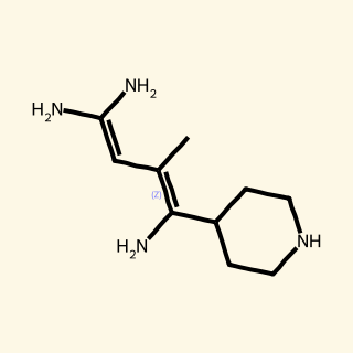 C/C(C=C(N)N)=C(/N)C1CCNCC1